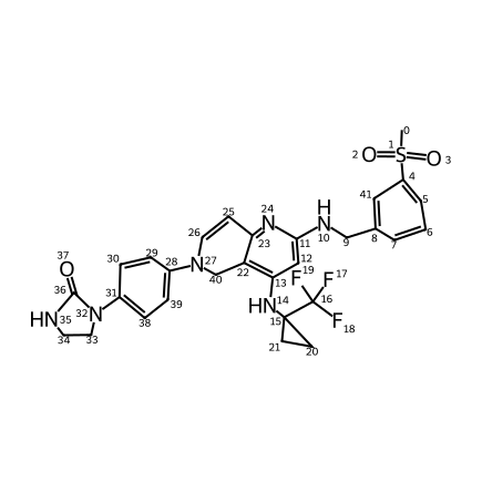 CS(=O)(=O)c1cccc(CNc2cc(NC3(C(F)(F)F)CC3)c3c(n2)C=CN(c2ccc(N4CCNC4=O)cc2)C3)c1